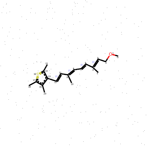 COC/C=C(C)/C=C/C=C(C)/C=C/c1c(C)sc(C)c1C